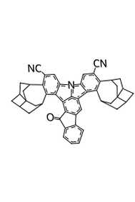 N#Cc1cc2c(c3c1C1CC4CC5CC3CC45C1)c1cc3c(c4c5c6c(c(C#N)cc5n2c14)C1CC2CC4CC6CC24C1)C(=O)c1ccccc1-3